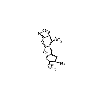 Cc1nc2nonc2c(N)c1Cc1ccc(C(F)(F)F)c(Br)c1